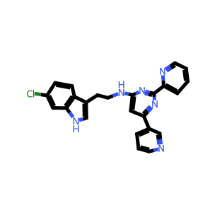 Clc1ccc2c(CCNc3cc(-c4cccnc4)nc(-c4ccccn4)n3)c[nH]c2c1